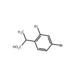 CCc1cc(Br)ccc1C(C)C(=O)O